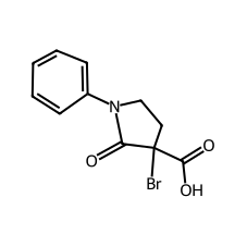 O=C(O)C1(Br)CCN(c2ccccc2)C1=O